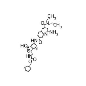 CCCN(CCC)C(=O)C1=Cc2ccc(C(=O)Nc3cnc4c(c3)B(O)OC4CNC(=O)OCc3ccccc3)cc2N=C(N)C1